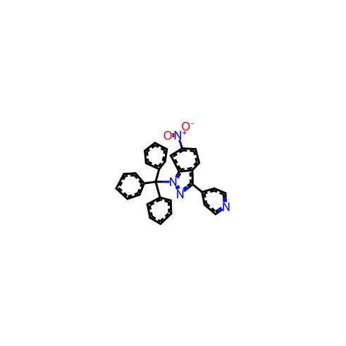 O=[N+]([O-])c1ccc2c(-c3ccncc3)nn(C(c3ccccc3)(c3ccccc3)c3ccccc3)c2c1